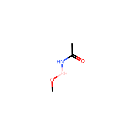 COBNC(C)=O